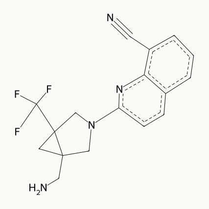 N#Cc1cccc2ccc(N3CC4(CN)CC4(C(F)(F)F)C3)nc12